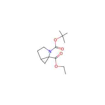 CCOC(=O)C12CC1CCN2C(=O)OC(C)(C)C